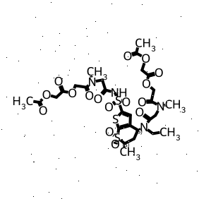 CCN(C(=O)CN(C)C(=O)COC(=O)COC(C)=O)[C@H]1C[C@H](C)S(=O)(=O)c2sc(S(=O)(=O)NC(=O)CN(C)C(=O)COC(=O)COC(C)=O)cc21